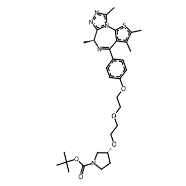 Cc1sc2c(c1C)C(c1ccc(OCCOCCO[C@@H]3CCN(C(=O)OC(C)(C)C)C3)cc1)=N[C@@H](C)c1nnc(C)n1-2